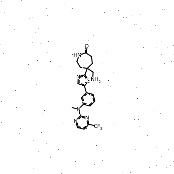 CN(c1cccc(-c2cnc(C3(CN)CCNC(=O)CC3)s2)c1)c1nccc(C(F)(F)F)n1